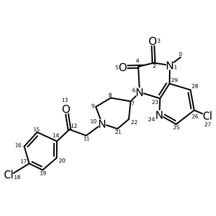 Cn1c(=O)c(=O)n(C2CCN(CC(=O)c3ccc(Cl)cc3)CC2)c2ncc(Cl)cc21